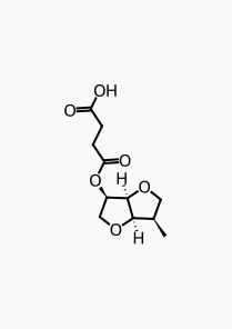 C[C@@H]1CO[C@H]2[C@@H]1OC[C@H]2OC(=O)CCC(=O)O